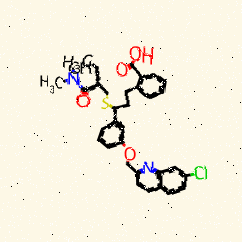 CCC(CSC(CCc1ccccc1C(=O)O)c1cccc(OCc2ccc3ccc(Cl)cc3n2)c1)C(=O)N(C)C